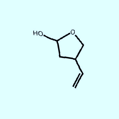 C=CC1COC(O)C1